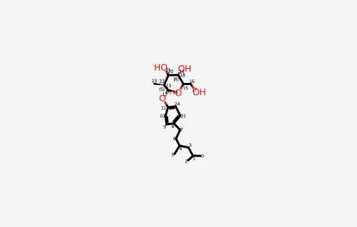 CC(C)CC(C)CCc1ccc(O[C@H]2OC(CO)[C@H](O)C(O)[C@@H]2C)cc1